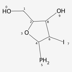 OCC1OC(P)C(I)C1O